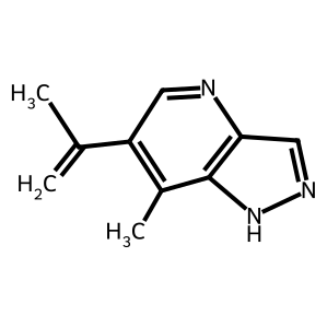 C=C(C)c1cnc2cn[nH]c2c1C